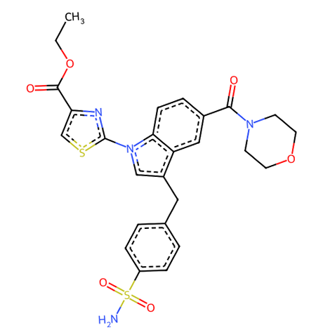 CCOC(=O)c1csc(-n2cc(Cc3ccc(S(N)(=O)=O)cc3)c3cc(C(=O)N4CCOCC4)ccc32)n1